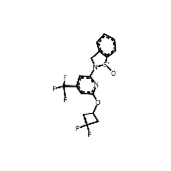 [O-][S+]1c2ccccc2CN1c1cc(C(F)(F)F)cc(OC2CC(F)(F)C2)n1